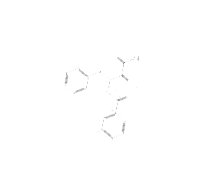 NC(=O)C(=O)C(Cc1ccccc1)NC(=O)c1ccccc1